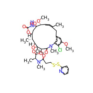 COc1cc2cc(c1Cl)N(C)C(=O)[C@H](OC(=O)[C@H](C)N(C)C(=O)CCSSc1ccccn1)[C@]1(C)O[C@H]1[C@H](C)[C@@H]1C[C@@](O)(NC(=O)O1)[C@H](OC)C=C=C(C)C2